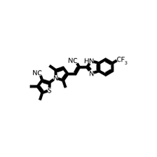 Cc1sc(-n2c(C)cc(C=C(C#N)c3nc4ccc(C(F)(F)F)cc4[nH]3)c2C)c(C#N)c1C